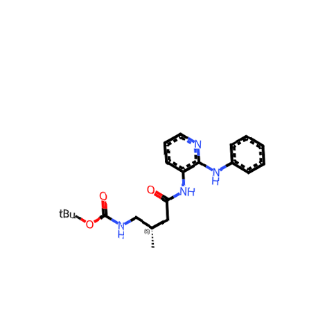 C[C@H](CNC(=O)OC(C)(C)C)CC(=O)Nc1cccnc1Nc1ccccc1